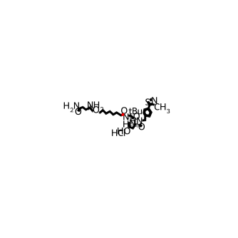 Cc1ncsc1-c1ccc(CNC(=O)[C@@H]2C[C@@H](O)CN2C(=O)[C@@H](NC(=O)CCCCCCCOC[C@@H](N)CCC(N)=O)C(C)(C)C)cc1.Cl